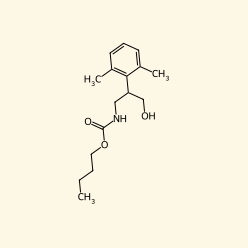 CCCCOC(=O)NCC(CO)c1c(C)cccc1C